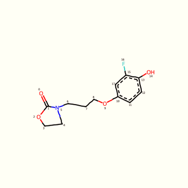 O=C1OCCN1CCCOc1ccc(O)c(F)c1